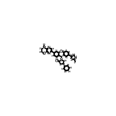 Cc1nnc(-c2ccc(Oc3cc(-c4cnc5c(n4)OCCN5C)ccc3CN3C[C@H](c4ccccc4)CC3=O)cc2)s1